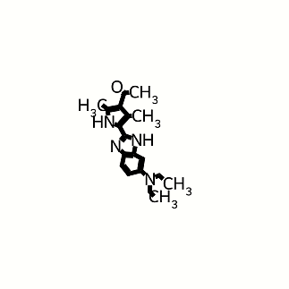 CCN(CC)c1ccc2nc(-c3[nH]c(C)c(C(C)=O)c3C)[nH]c2c1